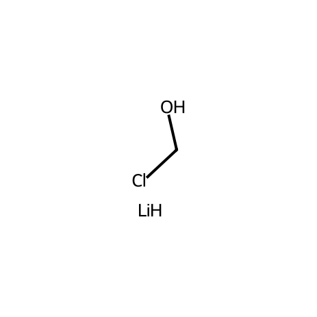 OCCl.[LiH]